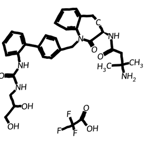 CC(C)(N)CC(=O)N[C@@H]1CCc2ccccc2N(Cc2ccc(-c3ccccc3NC(=O)NCC(O)CO)cc2)C1=O.O=C(O)C(F)(F)F